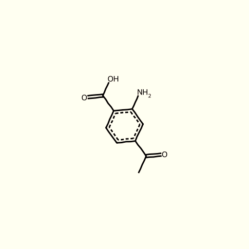 CC(=O)c1ccc(C(=O)O)c(N)c1